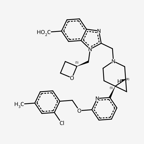 Cc1ccc(COc2cccc([C@@]34CCN(Cc5nc6ccc(C(=O)O)cc6n5C[C@@H]5CCO5)C[C@@H]3C4)n2)c(Cl)c1